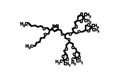 C=CCCCCOCC(COCCCCC=C)n1cc(COC(COC(COCC2COC(C)(C)O2)COCC2COC(C)(C)O2)COC(COCC2COC(C)(C)O2)COCC2COC(C)(C)O2)nn1